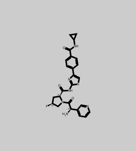 N[C@@H](C(=O)N1C[C@@H](F)C[C@H]1C(=O)Nc1nc(-c2ccc(C(=O)NC3CC3)cc2)cs1)c1cccnc1